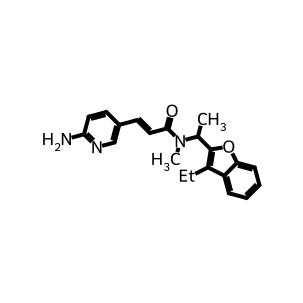 CCc1c(C(C)N(C)C(=O)C=Cc2ccc(N)nc2)oc2ccccc12